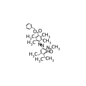 CCc1cc(/N=N/c2c(C)c(C)c(C(=O)OCc3ccccc3)c(C)c2C)c(NC(C)=O)cc1C(C)C